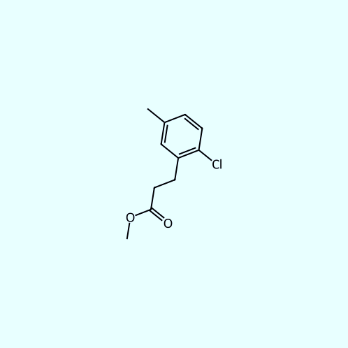 COC(=O)CCc1cc(C)ccc1Cl